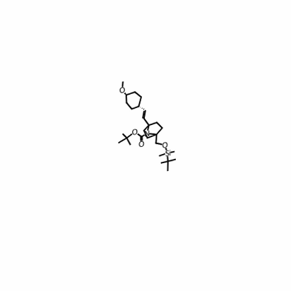 CO[C@H]1CC[C@H](/C=C/C23CCC(CO[Si](C)(C)C(C)(C)C)(CC2)N3C(=O)OC(C)(C)C)CC1